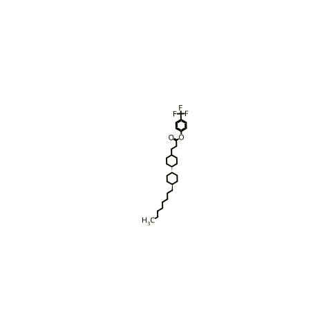 CCCCCCCC[C@H]1CC[C@H](C2CCC(CCC(=O)Oc3ccc(C(F)(F)F)cc3)CC2)CC1